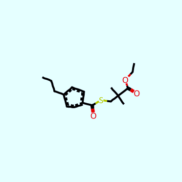 CCCc1ccc(C(=O)SCC(C)(C)C(=O)OCC)cc1